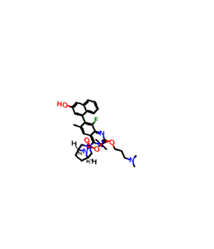 Cc1cc2c(N3C[C@H]4CC[C@@H](C3)N4C(=O)OC(C)(C)C)nc(OCCCN(C)C)nc2c(F)c1-c1cc(O)cc2ccccc12